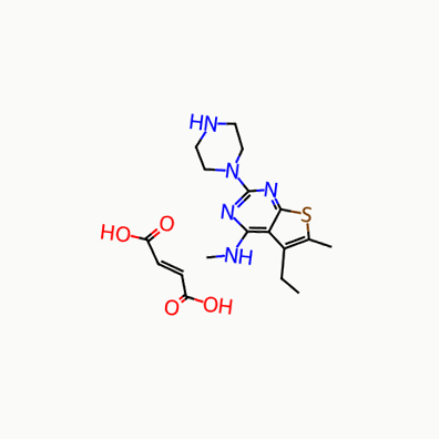 CCc1c(C)sc2nc(N3CCNCC3)nc(NC)c12.O=C(O)C=CC(=O)O